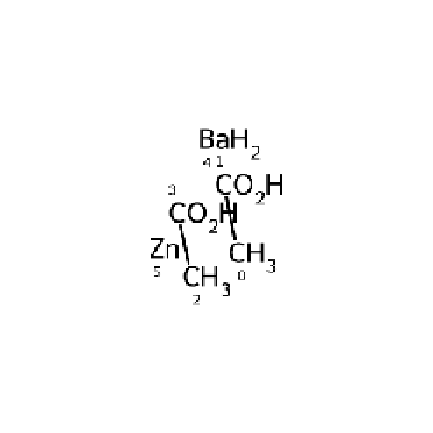 CC(=O)O.CC(=O)O.[BaH2].[Zn]